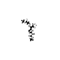 CC(C)(C)OC(=O)Nc1nc(C(=NOC(C)(C)C(=O)OC(C)(C)C)C(N)=O)cs1